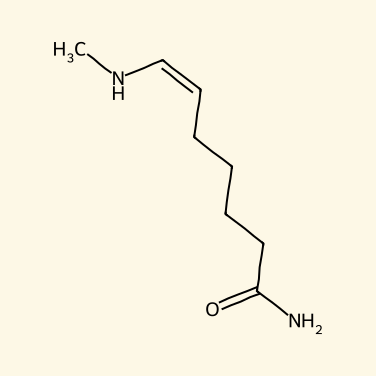 CN/C=C\CCCCC(N)=O